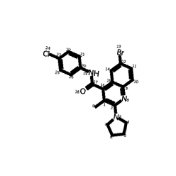 Cc1c(N2CCCC2)nc2ccc(Br)cc2c1C(=O)Nc1[c]cc(Cl)cc1